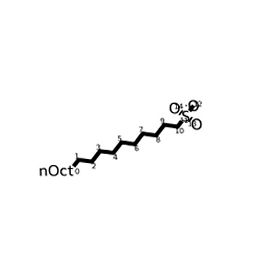 CCCCCCCCCCCCCCCCCCS([O])(=O)=O